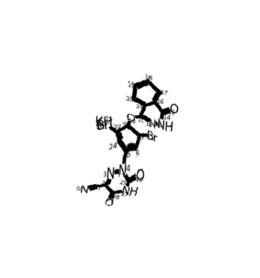 N#Cc1nn(-c2cc(Br)c(Oc3n[nH]c(=O)c4ccccc34)c(Br)c2)c(=O)[nH]c1=O.[KH]